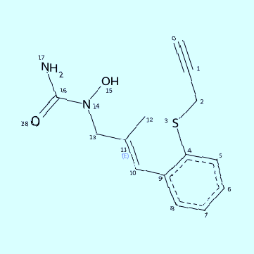 C#CCSc1ccccc1/C=C(\C)CN(O)C(N)=O